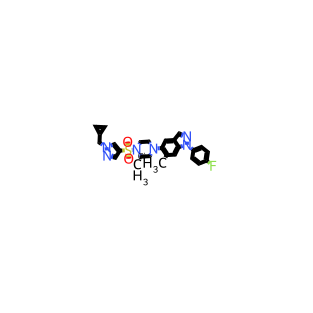 Cc1cc2c(cnn2-c2ccc(F)cc2)cc1N1CCN(S(=O)(=O)c2cnn(CC3CC3)c2)[C@H](C)C1